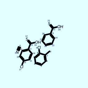 C#N.Cc1ccccc1Cl.OC(=S)c1ccc(Cl)cc1.OC(=S)c1ccccc1